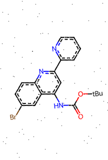 CC(C)(C)OC(=O)Nc1cc(-c2ccccn2)nc2ccc(Br)cc12